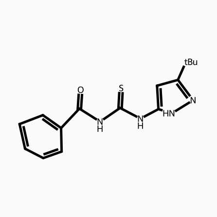 CC(C)(C)c1cc(NC(=S)NC(=O)c2ccccc2)[nH]n1